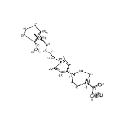 CC(C)COC(=O)N1CCN(c2ccc(OCCCN3CCCCC3C)cc2)CC1